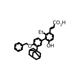 CCc1c(C=CC(=O)O)ccc(O)c1-c1ccc(OCc2ccccc2)c(C23CC4CC(CC(C4)C2)C3)c1